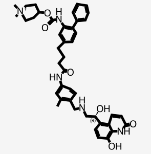 Cc1cc(NC(=O)CCCc2ccc(-c3ccccc3)c(NC(=O)OC3CC[N+](C)(C)CC3)c2)ccc1CNC[C@H](O)c1ccc(O)c2[nH]c(=O)ccc12